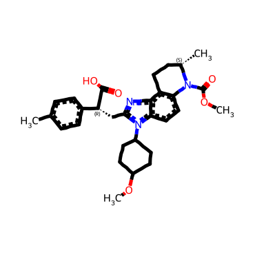 COC(=O)N1c2ccc3c(nc(C[C@@H](C(=O)O)c4ccc(C)cc4)n3C3CCC(OC)CC3)c2CC[C@@H]1C